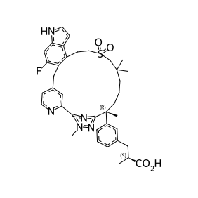 C[C@@H](Cc1cccc([C@@]2(C)CCCC(C)(C)CS(=O)(=O)CCc3c(c(F)cc4[nH]ccc34)Cc3ccnc(c3)-c3nc2nn3C)c1)C(=O)O